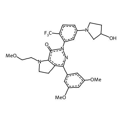 COCCN1CCc2c(-c3cc(OC)cc(OC)c3)nn(-c3cc(N4CCC(O)C4)ccc3C(F)(F)F)c(=O)c21